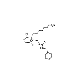 O=C(O)CCCCCC[C@@H]1[C@@H](COC(=S)NCc2ccccc2)[C@H]2CC[C@@H]1O2